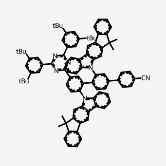 CC(C)(C)c1cc(-c2nc(-c3cc(C(C)(C)C)cc(C(C)(C)C)c3)nc(-c3ccc(-n4c5ccccc5c5cc6c(cc54)C(C)(C)c4ccccc4-6)c(-c4ccc(-c5ccc(C#N)cc5)cc4-n4c5ccccc5c5cc6c(cc54)C(C)(C)c4ccccc4-6)c3)n2)cc(C(C)(C)C)c1